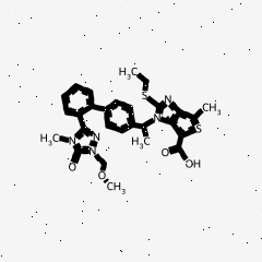 CCSc1nc2c(C)sc(C(=O)O)c2n1C(C)c1ccc(-c2ccccc2-c2nn(COC)c(=O)n2C)cc1